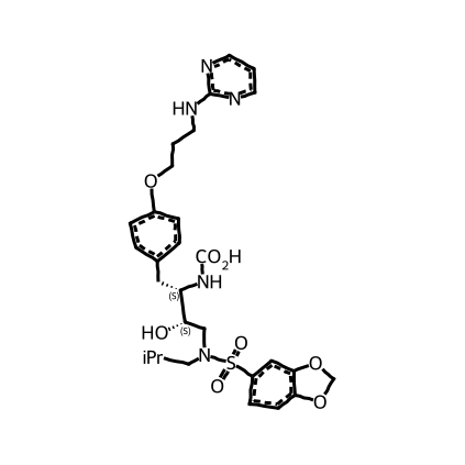 CC(C)CN(C[C@H](O)[C@H](Cc1ccc(OCCCNc2ncccn2)cc1)NC(=O)O)S(=O)(=O)c1ccc2c(c1)OCO2